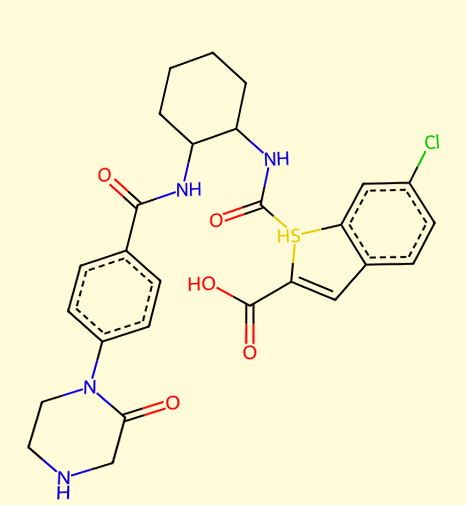 O=C(O)C1=Cc2ccc(Cl)cc2[SH]1C(=O)NC1CCCCC1NC(=O)c1ccc(N2CCNCC2=O)cc1